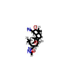 CC(=O)/C=C1/[C@@]2(C)C=C(C#N)C(=O)C(C)(C)[C@@H]2CC[C@@]1(C)[C@@]1(C)CCCC(C)(C)CC[C@](C)(c2nnc(C)o2)CC1